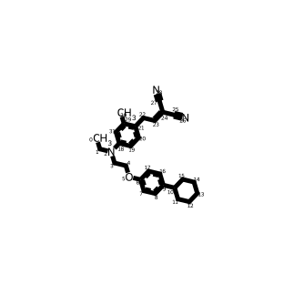 CCN(CCOc1ccc(C2CCCCC2)cc1)c1ccc(CC=C(C#N)C#N)c(C)c1